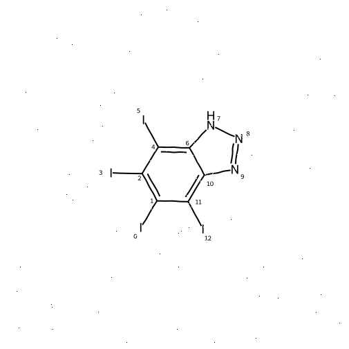 Ic1c(I)c(I)c2[nH]nnc2c1I